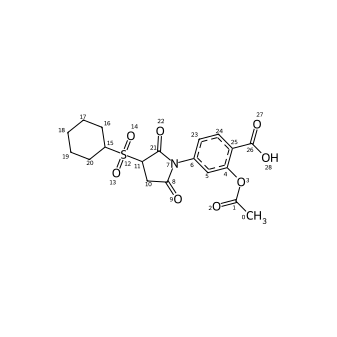 CC(=O)Oc1cc(N2C(=O)CC(S(=O)(=O)C3CCCCC3)C2=O)ccc1C(=O)O